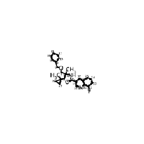 CC1(CC(C)(COCc2ccccc2)NC(=O)c2cnc3c(F)cccc3c2)CC1